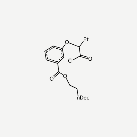 CCCCCCCCCCCCOC(=O)c1cccc(OC(CC)C(=O)Cl)c1